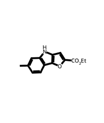 CCOC(=O)c1cc2[nH]c3cc(C)ccc3c2o1